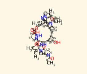 C=CC(=O)N1CC[C@H](C(=O)N(C)[C@H](C(=O)N[C@H]2Cc3cc(O)cc(c3)-c3ccc4c(c3)c(c(-c3cnn(C)c3[C@H](C)OC)n4CC)CC(C)(C)COC(=O)[C@@]3(O)CCCN(N3)C2=O)C(C)C)C1